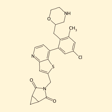 Cc1cc(Cl)cc(-c2ccnc3cc(CN4C(=O)C5CC5C4=O)sc23)c1CC1CNCCO1